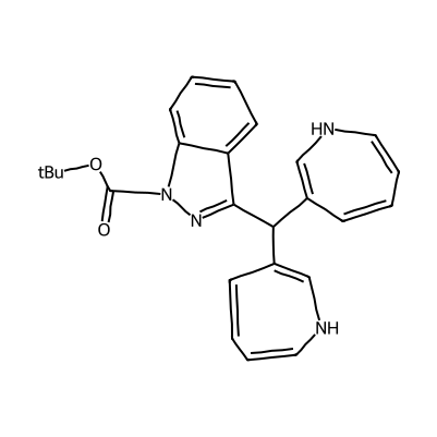 CC(C)(C)OC(=O)n1nc(C(C2=CNC=CC=C2)C2=CNC=CC=C2)c2ccccc21